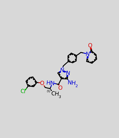 C[C@@H](COc1cccc(Cl)c1)NC(=O)c1cn(Cc2ccc(Cn3ccccc3=O)cc2)nc1N